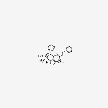 CC1=C2[C@@H](CC1)[C@]1(C)O[C@@](c3ccccc3)(C[C@H]1O)[C@H]2OC(=O)/C=C/c1ccccc1